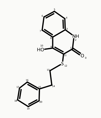 O=c1[nH]c2ccccc2c(O)c1SCCc1ccccc1